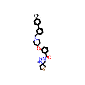 CN(C)C1(CNC(=O)c2cccc(OC3CCN(Cc4cccc(-c5ccc(C(F)(F)F)cc5)c4)CC3)c2)CCSC1